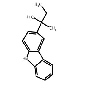 CCC(C)(C)c1ccc2[nH]c3ccccc3c2c1